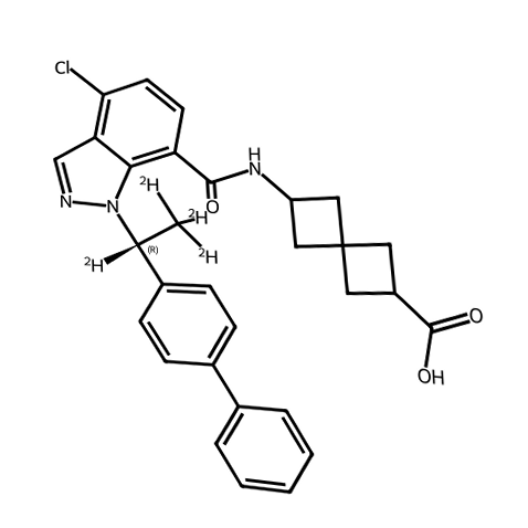 [2H]C([2H])([2H])[C@]([2H])(c1ccc(-c2ccccc2)cc1)n1ncc2c(Cl)ccc(C(=O)NC3CC4(C3)CC(C(=O)O)C4)c21